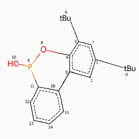 CC(C)(C)c1cc2c(c(C(C)(C)C)c1)OP(O)c1ccccc1-2